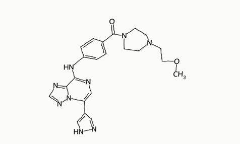 COCCN1CCN(C(=O)c2ccc(Nc3ncc(-c4cn[nH]c4)n4ncnc34)cc2)CC1